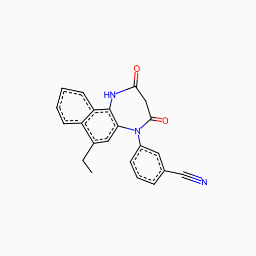 CCc1cc2c(c3ccccc13)NC(=O)CC(=O)N2c1cccc(C#N)c1